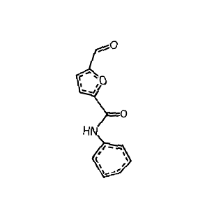 O=Cc1ccc(C(=O)Nc2ccccc2)o1